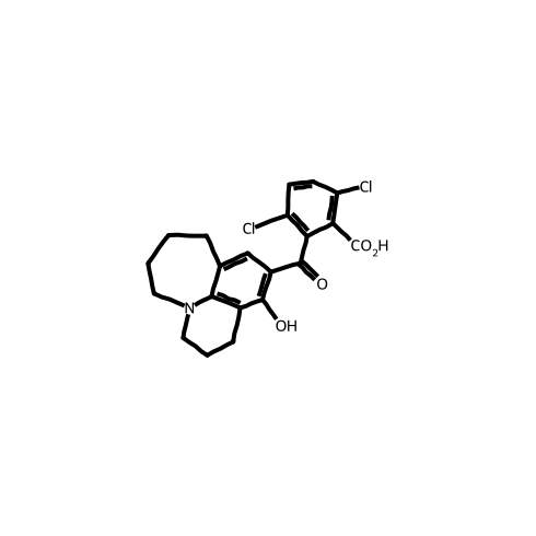 O=C(O)c1c(Cl)ccc(Cl)c1C(=O)c1cc2c3c(c1O)CCCN3CCCC2